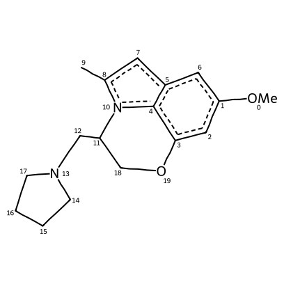 COc1cc2c3c(c1)cc(C)n3C(CN1CCCC1)CO2